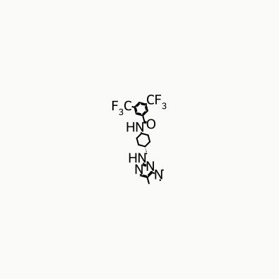 Cc1cnc(NC[C@H]2CC[C@@H](NC(=O)c3cc(C(F)(F)F)cc(C(F)(F)F)c3)CC2)nc1N(C)C